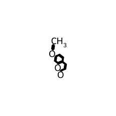 CC#COc1ccc2ccc(=O)oc2c1